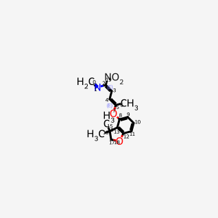 C=N/C(=C\C=C(/C)Oc1cccc2c1C(C)(C)CO2)[N+](=O)[O-]